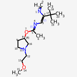 C=N/C(=C\N=C(/C)O[C@@H]1CCN(CCOC)C1)C(C)(C)C